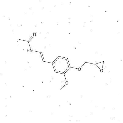 COc1cc(C=CNC(C)=O)ccc1OCC1CO1